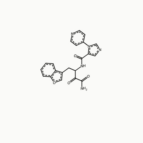 NC(=O)C(=O)C(Cc1coc2ccccc12)NC(=O)c1cncn1-c1ccncc1